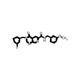 COc1cccc(CNC(=O)c2cc3c(=O)n(Cc4cccc(F)c4)cnc3cn2)c1